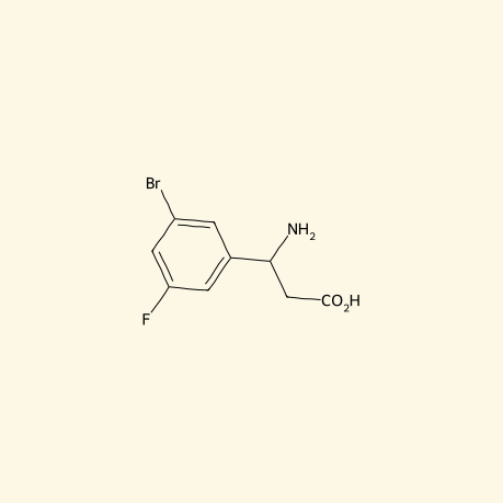 NC(CC(=O)O)c1cc(F)cc(Br)c1